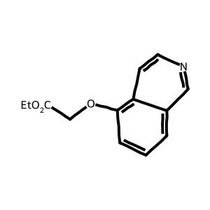 CCOC(=O)COc1cccc2cnccc12